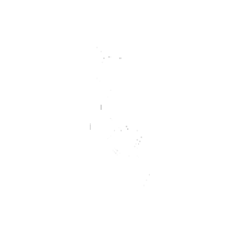 COc1ccc(PCCC(C)C)cc1.Cl